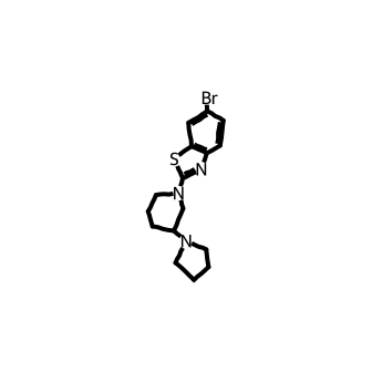 Brc1ccc2nc(N3CCCC(N4CCCC4)C3)sc2c1